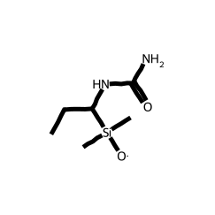 CCC(NC(N)=O)[Si](C)(C)[O]